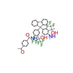 CNc1ccc(C2(c3ccc(NC(=O)c4ccc(C(C)=O)cc4)c(C(O)(C(F)(F)F)C(F)(F)F)c3)c3ccccc3-c3ccccc32)cc1C(C)(O)C(F)(F)F